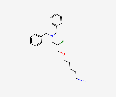 NCCCCCOCC(F)CN(Cc1ccccc1)Cc1ccccc1